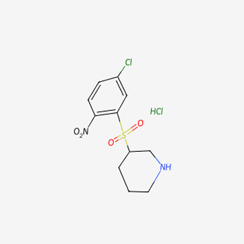 Cl.O=[N+]([O-])c1ccc(Cl)cc1S(=O)(=O)C1CCCNC1